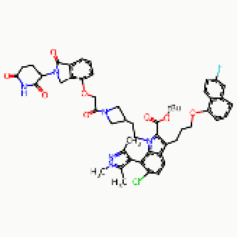 Cc1nn(C)c(C)c1-c1c(Cl)ccc2c(CCCOc3cccc4cc(F)ccc34)c(C(=O)OC(C)(C)C)n(CCC3CN(C(=O)COc4cccc5c4CN(C4CCC(=O)NC4=O)C5=O)C3)c12